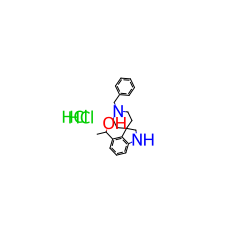 CC(O)c1cccc2c1C1(CCN(Cc3ccccc3)CC1)CN2.Cl.Cl